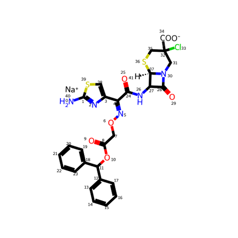 Nc1nc(C(=NOCC(=O)OC(c2ccccc2)c2ccccc2)C(=O)NC2C(=O)N3CC(Cl)(C(=O)[O-])CS[C@H]23)cs1.[Na+]